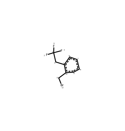 FC(F)(F)Cc1ccccc1CBr